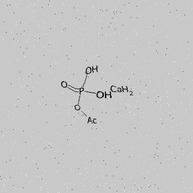 CC(=O)OP(=O)(O)O.[CaH2]